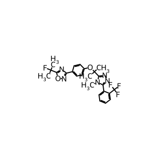 Cn1c(-c2ccccc2C(F)(F)F)nnc1C(C)(C)Oc1ccc(-c2noc(C(C)(C)F)n2)cc1